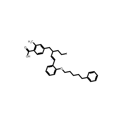 Cc1cc(CC(/C=C/c2ccccc2OCCCCCc2ccccc2)CCI)ccc1C(=O)O